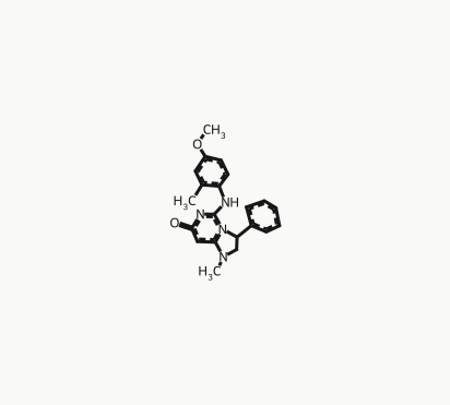 COc1ccc(Nc2nc(=O)cc3n2C(c2ccccc2)CN3C)c(C)c1